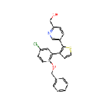 OCc1ccc(-c2sccc2-c2cc(Cl)ccc2OCc2ccccc2)cn1